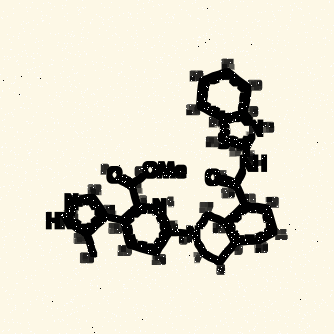 COC(=O)c1nc(N2CCc3cccc(C(=O)Nc4nc5ccccc5s4)c3C2)ccc1-c1cn[nH]c1C